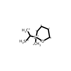 CC([SiH3])[Si]1(C)CCCCO1